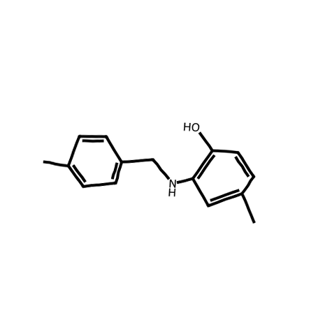 Cc1ccc(CNc2cc(C)ccc2O)cc1